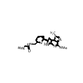 CNCC(=O)NCc1cccc(-c2cc3c(nc(NC)c4ncn(C)c43)[nH]2)n1